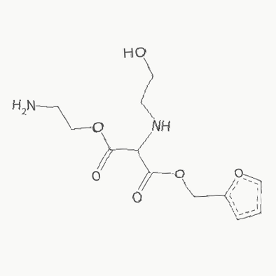 NCCOC(=O)C(NCCO)C(=O)OCc1ccco1